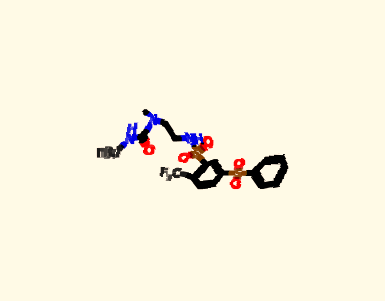 CCCCNC(=O)N(C)CCNS(=O)(=O)c1cc(S(=O)(=O)c2ccccc2)ccc1C(F)(F)F